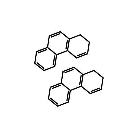 C1=Cc2c(ccc3ccccc23)CC1.C1=Cc2c(ccc3ccccc23)CC1